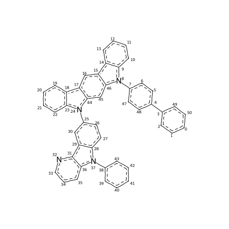 c1ccc(-c2ccc(-n3c4ccccc4c4cc5c6ccccc6n(-c6ccc7c(c6)c6ncccc6n7-c6ccccc6)c5cc43)cc2)cc1